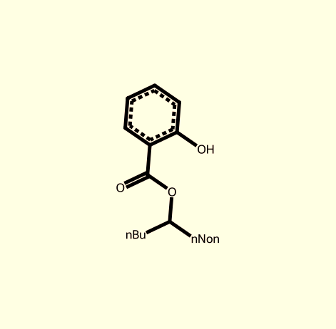 CCCCCCCCCC(CCCC)OC(=O)c1ccccc1O